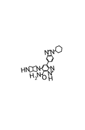 NC(=O)c1c(N2CC3CNCC3C2)cc(-c2ccc3c(c2)ncn3C2CCCCC2)c2nc[nH]c12